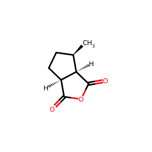 C[C@@H]1CC[C@@H]2C(=O)OC(=O)[C@H]12